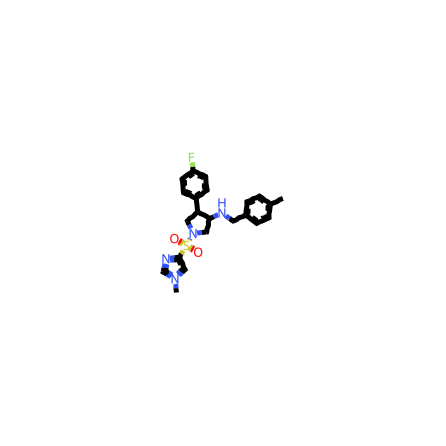 Cc1ccc(CNC2CN(S(=O)(=O)c3cn(C)cn3)CC2c2ccc(F)cc2)cc1